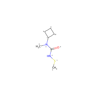 CSNC(=O)N(C)C1CCC1